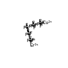 F[B-](F)(F)F.F[B-](F)(F)F.F[B-](F)(F)F.F[B-](F)(F)F.F[B-](F)(F)F.[Cr+3].[Cu+2]